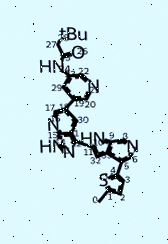 Cc1ccc(-c2cncc3[nH]c(-c4n[nH]c5ncc(-c6cncc(NC(=O)CC(C)(C)C)c6)cc45)cc23)s1